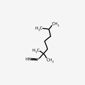 CC(C)CCCC(C)(C)P=N